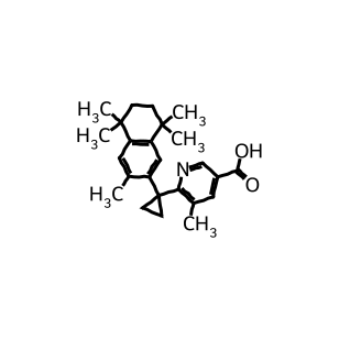 Cc1cc2c(cc1C1(c3ncc(C(=O)O)cc3C)CC1)C(C)(C)CCC2(C)C